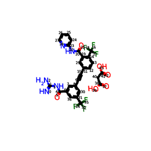 N=C(N)NC(=O)c1cc(C#Cc2ccc(C(F)(F)F)c(C(=O)Nc3ccccn3)c2)cc(C(F)(F)F)c1.O=C(O)CC(=O)O